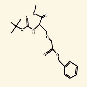 COC(=O)C(COCC(=O)OCc1ccccc1)NC(=O)OC(C)(C)C